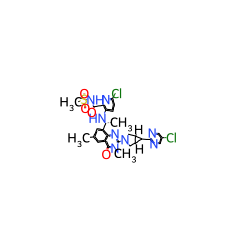 Cc1cc([C@@H](C)Nc2ccc(Cl)nc2C(=O)NS(C)(=O)=O)c2nc(N3C[C@@H]4C(c5ncc(Cl)cn5)[C@@H]4C3)n(C)c(=O)c2c1